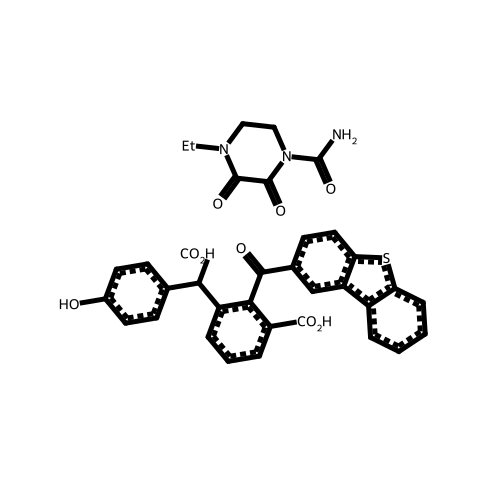 CCN1CCN(C(N)=O)C(=O)C1=O.O=C(O)c1cccc(C(C(=O)O)c2ccc(O)cc2)c1C(=O)c1ccc2sc3ccccc3c2c1